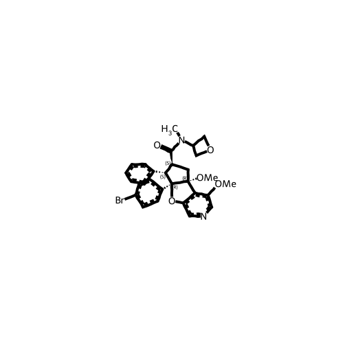 COc1cncc2c1[C@]1(OC)C[C@H](C(=O)N(C)C3COC3)[C@@H](c3ccccc3)[C@]1(c1ccc(Br)cc1)O2